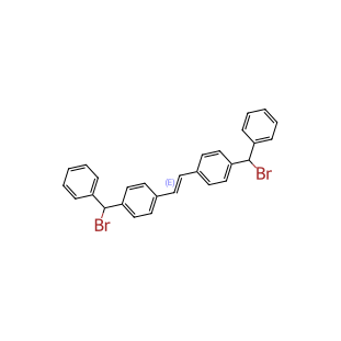 BrC(c1ccccc1)c1ccc(/C=C/c2ccc(C(Br)c3ccccc3)cc2)cc1